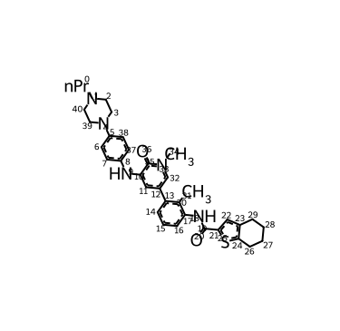 CCCN1CCN(c2ccc(Nc3cc(-c4cccc(NC(=O)c5cc6c(s5)CCCC6)c4C)cn(C)c3=O)cc2)CC1